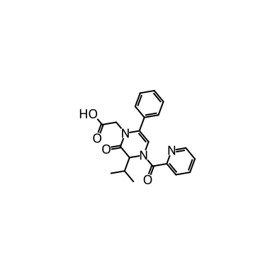 CC(C)C1C(=O)N(CC(=O)O)C(c2ccccc2)=CN1C(=O)c1ccccn1